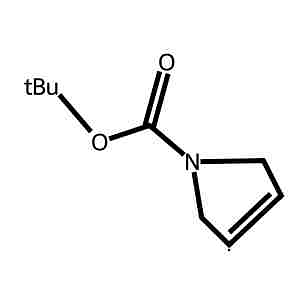 CC(C)(C)OC(=O)N1C[C]=CC1